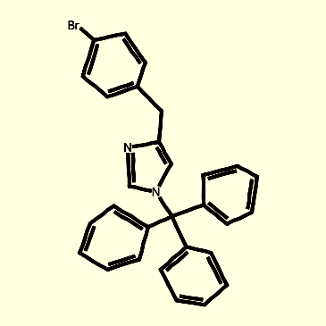 Brc1ccc(Cc2cn(C(c3ccccc3)(c3ccccc3)c3ccccc3)cn2)cc1